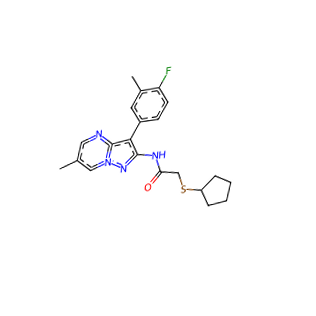 Cc1cnc2c(-c3ccc(F)c(C)c3)c(NC(=O)CSC3CCCC3)nn2c1